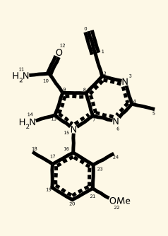 C#Cc1nc(C)nc2c1c(C(N)=O)c(N)n2-c1c(C)ccc(OC)c1C